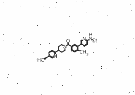 C#Cc1ccc(C2CCN(C(=O)c3ccc(C)c(-c4ccc(NCC)nc4)c3)CC2)nc1